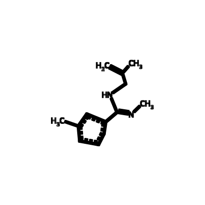 C=C(C)CN/C(=N\C)c1cccc(C)c1